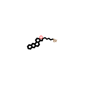 BrCCCCCc1cc2c(ccc3c4cc5ccccc5cc4ccc23)o1